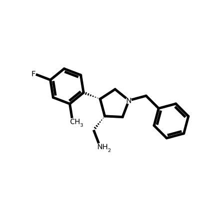 Cc1cc(F)ccc1[C@@H]1CN(Cc2ccccc2)C[C@@H]1CN